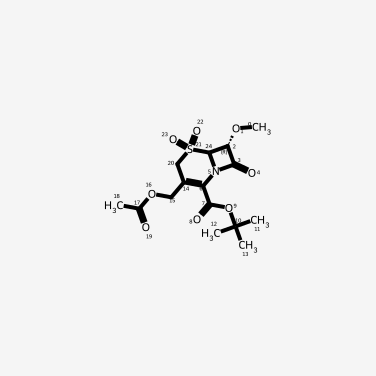 CO[C@@H]1C(=O)N2C(C(=O)OC(C)(C)C)=C(COC(C)=O)CS(=O)(=O)C12